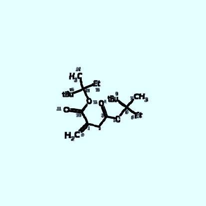 C=C(CC(=O)OC(C)(CC)C(C)(C)C)C(=O)OC(C)(CC)C(C)(C)C